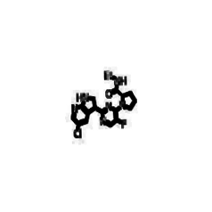 CCNC(=O)[C@H]1CCCN1c1nc(C2CNc3ncc(Cl)cc32)ncc1F